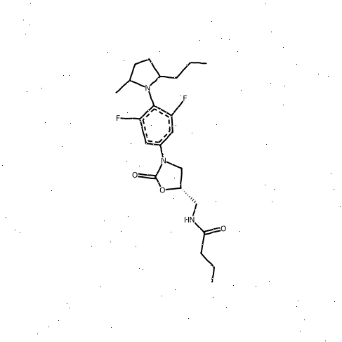 CCCC(=O)NC[C@H]1CN(c2cc(F)c(N3C(C)CCC3CCC)c(F)c2)C(=O)O1